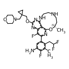 Cc1c(F)c(N)cc(-c2nc3c4c(nc(OCC5(CN6CCOCC6)CC5)nc4c2F)NCCNCC[C@H](C)O3)c1CC(F)F